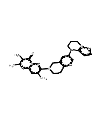 Cc1cc2nc(C)c(C)c(=O)n2nc1N1CCc2ncc(N3CCCn4nccc43)cc2C1